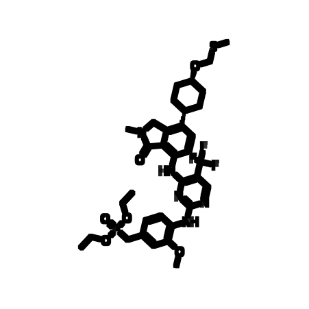 CCOP(=O)(Cc1ccc(Nc2ncc(C(F)(F)F)c(Nc3ccc([C@H]4CC[C@H](OCSC)CC4)c4c3C(=O)N(C)C4)n2)c(OC)c1)OCC